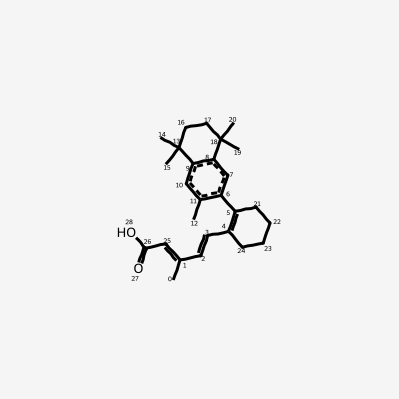 CC(C=CC1=C(c2cc3c(cc2C)C(C)(C)CCC3(C)C)CCCC1)=CC(=O)O